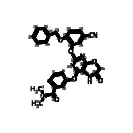 CN(C)C(=O)c1cccc(Oc2nc(Oc3cc(C#N)ccc3OCc3ccccc3)nc3c2NC(=O)CO3)c1